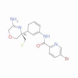 NC1=N[C@](CF)(C2C=C(NC(=O)c3ccc(Br)cn3)C=CC2)COC1